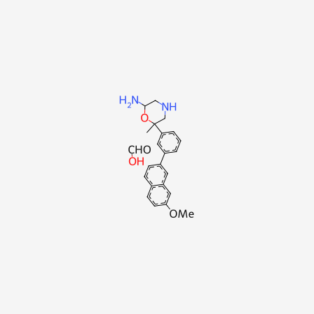 COc1ccc2ccc(-c3cccc(C4(C)CNCC(N)O4)c3)cc2c1.O=CO